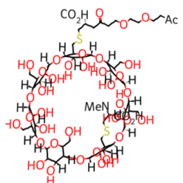 CN[C@H](CSCC1O[C@H]2O[C@@H]3C(CO)O[C@H](O[C@@H]4C(CO)O[C@H](O[C@@H]5C(CO)O[C@H](O[C@@H]6C(CSC[C@@H](CC(=O)CCOCCOCCC(C)=O)C(=O)O)O[C@H](O[C@@H]7C(CO)O[C@@H](O[C@@H]8C(CO)O[C@@H](O[C@H]1[C@H](O)C2O)C(O)[C@H]8O)C(O)[C@H]7O)C(O)[C@@H]6O)C(O)[C@H]5O)C(O)[C@H]4O)C(O)[C@H]3O)C(=O)O